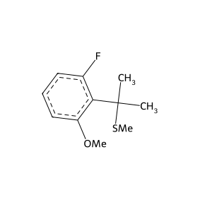 COc1cccc(F)c1C(C)(C)SC